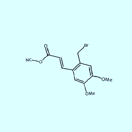 COc1cc(C=CC(=O)OC#N)c(CBr)cc1OC